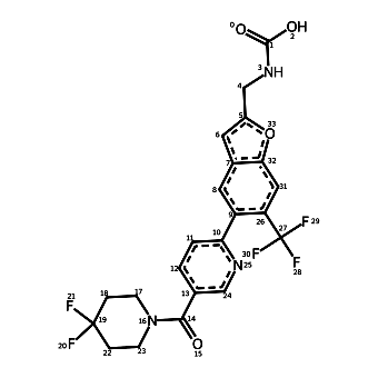 O=C(O)NCc1cc2cc(-c3ccc(C(=O)N4CCC(F)(F)CC4)cn3)c(C(F)(F)F)cc2o1